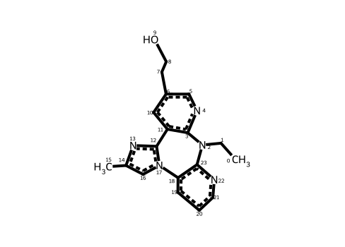 CCN1c2ncc(CCO)cc2-c2nc(C)cn2-c2cccnc21